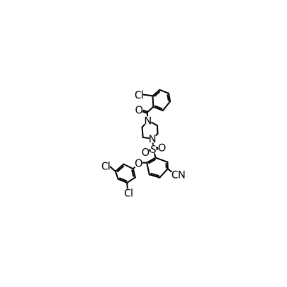 N#Cc1ccc(Oc2cc(Cl)cc(Cl)c2)c(S(=O)(=O)N2CCN(C(=O)c3ccccc3Cl)CC2)c1